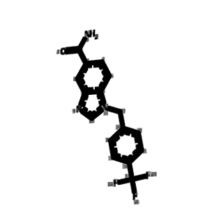 NC(=O)c1ccc2c(c1)ncn2Cc1ccc(C(F)(F)F)cc1